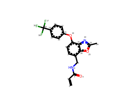 C=CC(=O)NCc1ccc(Oc2ccc(C(F)(F)F)cc2)c2nc(C)oc12